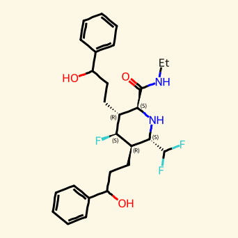 CCNC(=O)[C@H]1N[C@H](C(F)F)[C@@H](CCC(O)c2ccccc2)[C@@H](F)[C@@H]1CCC(O)c1ccccc1